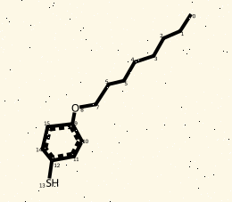 CCCCCCCCOc1ccc(S)cc1